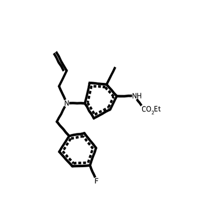 C=CCN(Cc1ccc(F)cc1)c1ccc(NC(=O)OCC)c(C)c1